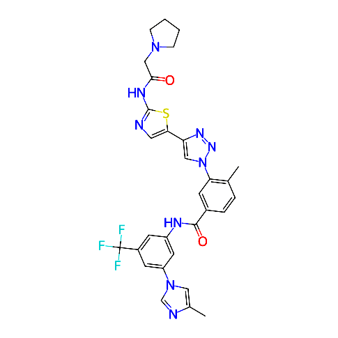 Cc1cn(-c2cc(NC(=O)c3ccc(C)c(-n4cc(-c5cnc(NC(=O)CN6CCCC6)s5)nn4)c3)cc(C(F)(F)F)c2)cn1